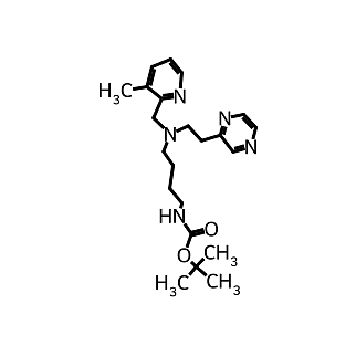 Cc1cccnc1CN(CCCCNC(=O)OC(C)(C)C)CCc1cnccn1